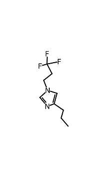 CCCc1cn(CCC(F)(F)F)cn1